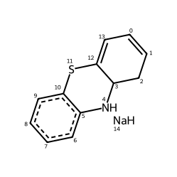 C1=CCC2Nc3ccccc3SC2=C1.[NaH]